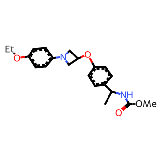 CCOc1ccc(N2CC(Oc3ccc(C(C)NC(=O)OC)cc3)C2)cc1